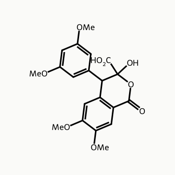 COc1cc(OC)cc(C2c3cc(OC)c(OC)cc3C(=O)OC2(O)C(=O)O)c1